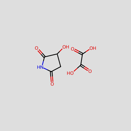 O=C(O)C(=O)O.O=C1CC(O)C(=O)N1